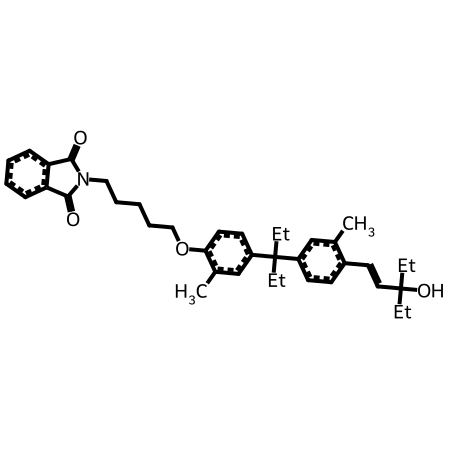 CCC(O)(C=Cc1ccc(C(CC)(CC)c2ccc(OCCCCCN3C(=O)c4ccccc4C3=O)c(C)c2)cc1C)CC